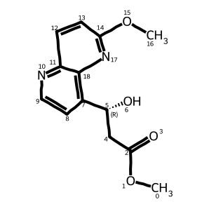 COC(=O)C[C@@H](O)c1ccnc2ccc(OC)nc12